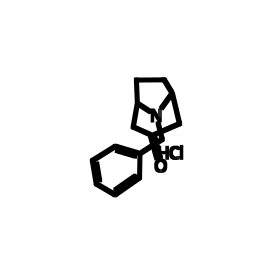 Cl.O=C1CC2CCC(C1)N2Cc1ccccc1